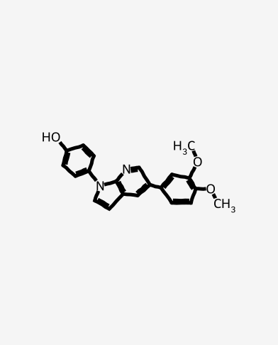 COc1ccc(-c2cnc3c(ccn3-c3ccc(O)cc3)c2)cc1OC